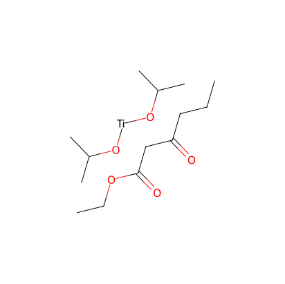 CC(C)[O][Ti][O]C(C)C.CCCC(=O)CC(=O)OCC